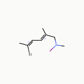 CC/C(C)=C\C=C(/C)CN(C)I